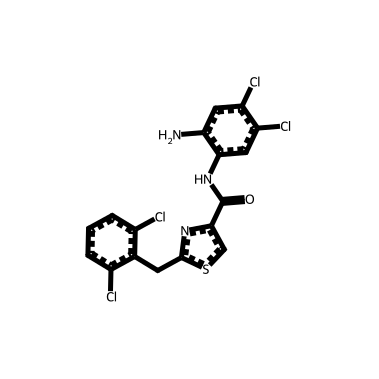 Nc1cc(Cl)c(Cl)cc1NC(=O)c1csc(Cc2c(Cl)cccc2Cl)n1